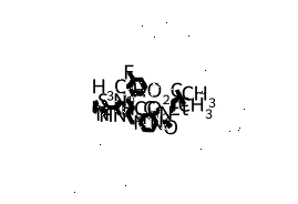 CCOC(=O)C1=C(CN2CCN3C(=O)N(CCC(C)(C)C(=O)O)C[C@]3(C)C2)NC(c2nccs2)=N[C@H]1c1cccc(F)c1C